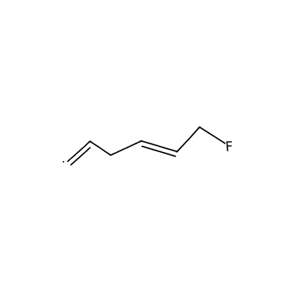 [CH]=CC/C=C/CF